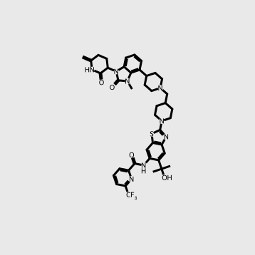 C=C1CCC(n2c(=O)n(C)c3c(C4CCN(CC5CCN(c6nc7cc(C(C)(C)O)c(NC(=O)c8cccc(C(F)(F)F)n8)cc7s6)CC5)CC4)cccc32)C(=O)N1